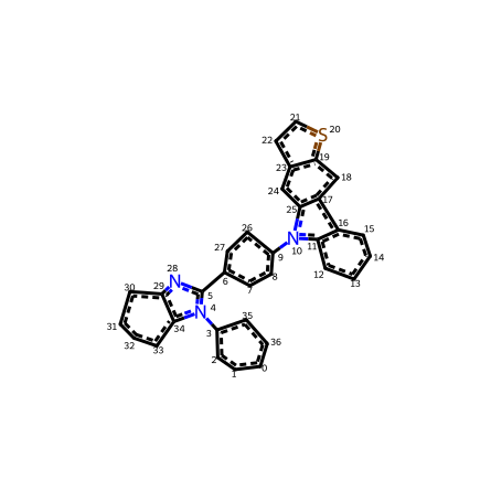 c1ccc(-n2c(-c3ccc(-n4c5ccccc5c5cc6sccc6cc54)cc3)nc3ccccc32)cc1